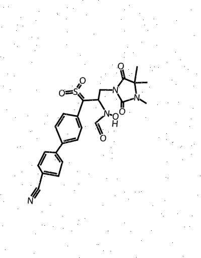 CN1C(=O)N(CC(C(c2ccc(-c3ccc(C#N)cc3)cc2)=S(=O)=O)N(O)C=O)C(=O)C1(C)C